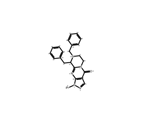 CC(C)n1ncc2c(=O)n3c(nc21)C(Cc1ccccc1)N(Cc1ccccc1)CC3